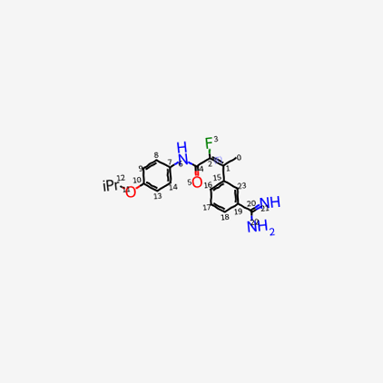 C/C(=C(\F)C(=O)Nc1ccc(OC(C)C)cc1)c1cccc(C(=N)N)c1